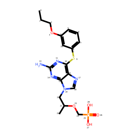 CCCOc1cccc(Sc2nc(N)nc3c2ncn3CC(C)OCP(=O)(O)O)c1